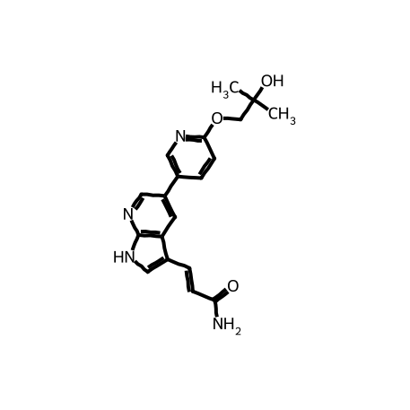 CC(C)(O)COc1ccc(-c2cnc3[nH]cc(/C=C/C(N)=O)c3c2)cn1